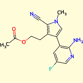 CC(=O)OCCc1c(-c2cc(F)cnc2N)cn(C)c1C#N